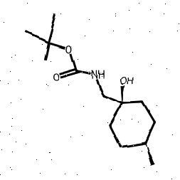 CC(C)(C)OC(=O)NC[C@]1(O)CC[C@@H](C)CC1